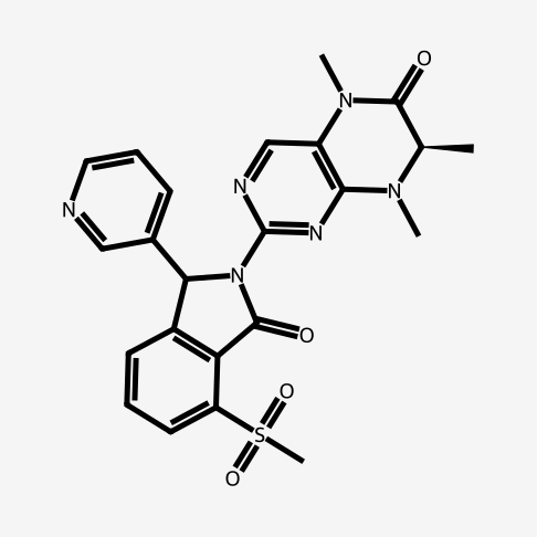 C[C@@H]1C(=O)N(C)c2cnc(N3C(=O)c4c(cccc4S(C)(=O)=O)C3c3cccnc3)nc2N1C